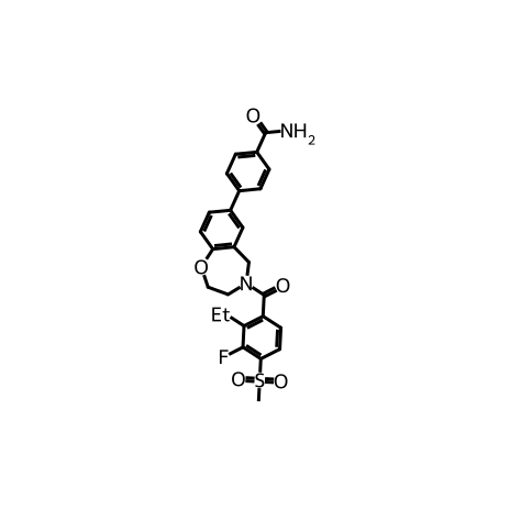 CCc1c(C(=O)N2CCOc3ccc(-c4ccc(C(N)=O)cc4)cc3C2)ccc(S(C)(=O)=O)c1F